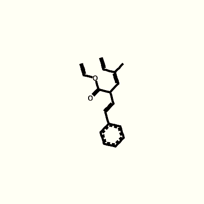 C=COC(=O)C(C=Cc1ccccc1)C=C(C)C=C